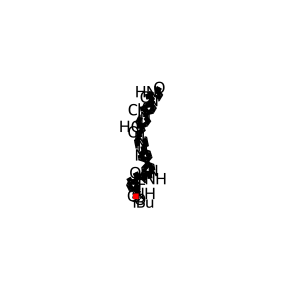 CCC(C)S(=O)(=O)Nc1ccc(C)c(C(=O)c2c[nH]c3ncc(-c4ccc(N5CCN(C(=O)CC6(O)CCN(c7ccc(N8CCC(=O)NC8=O)cc7Cl)CC6)CC5)nc4)cc23)c1F